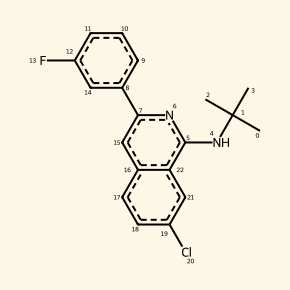 CC(C)(C)Nc1nc(-c2cccc(F)c2)cc2ccc(Cl)cc12